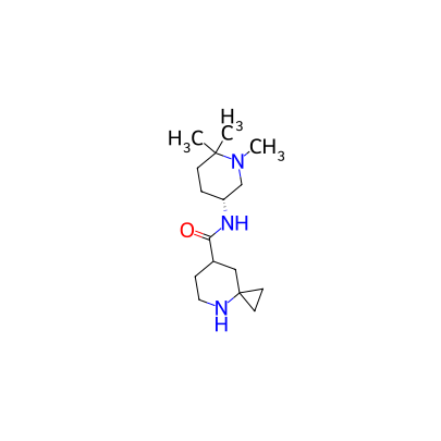 CN1C[C@H](NC(=O)C2CCNC3(CC3)C2)CCC1(C)C